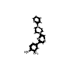 Cc1ccc(-c2cncc(N3CCN(c4ccccn4)CC3)n2)cc1C